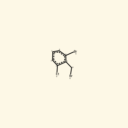 CCc1cccc(Br)c1CBr